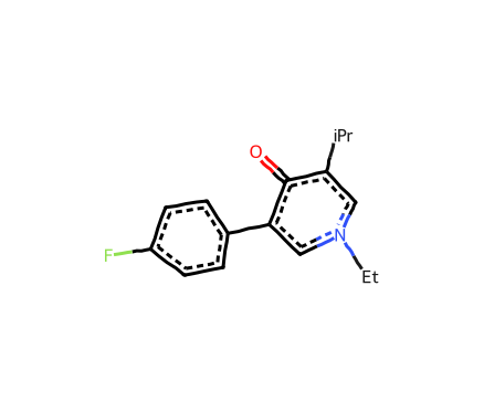 CCn1cc(-c2ccc(F)cc2)c(=O)c(C(C)C)c1